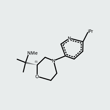 CNC(C)(C)[C@@H]1CN(c2ccc(C(C)C)nc2)CCO1